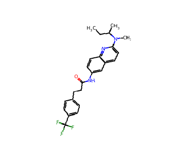 CCC(C)N(C)c1ccc2cc(NC(=O)CCc3ccc(C(F)(F)F)cc3)ccc2n1